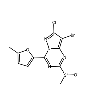 Cc1ccc(-c2nc([S+](C)[O-])nc3c(Br)c(Cl)nn23)o1